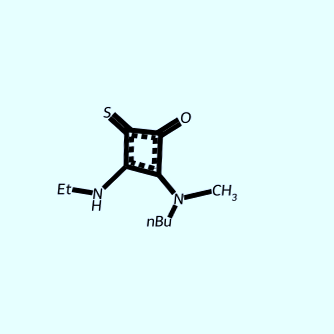 CCCCN(C)c1c(NCC)c(=S)c1=O